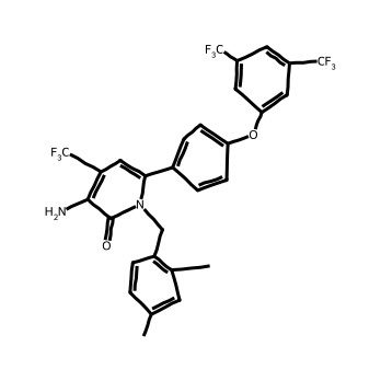 Cc1ccc(Cn2c(-c3ccc(Oc4cc(C(F)(F)F)cc(C(F)(F)F)c4)cc3)cc(C(F)(F)F)c(N)c2=O)c(C)c1